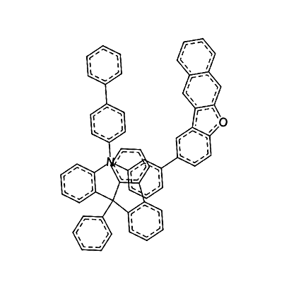 c1ccc(-c2ccc(N(c3cccc(-c4ccc5oc6cc7ccccc7cc6c5c4)c3)c3ccccc3C3(c4ccccc4)c4ccccc4-c4ccccc43)cc2)cc1